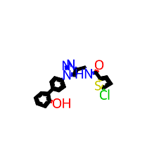 O=C(NCc1cn(-c2ccc(-c3ccccc3O)cc2)nn1)c1ccc(Cl)s1